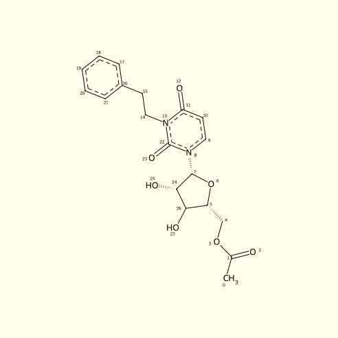 CC(=O)OC[C@H]1O[C@@H](n2ccc(=O)n(CCc3ccccc3)c2=O)[C@@H](O)C1O